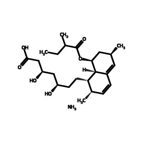 CCC(C)C(=O)O[C@H]1C[C@@H](C)C=C2C=C[C@H](C)[C@H](CC[C@@H](O)C[C@@H](O)CC(=O)O)[C@H]21.N